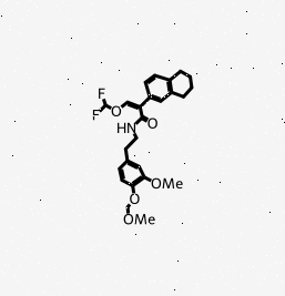 COCOc1ccc(CCNC(=O)C(=COC(F)F)c2ccc3c(c2)CCCC3)cc1OC